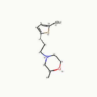 CC1CN(CCCc2ccc(C(C)(C)C)s2)CCO1